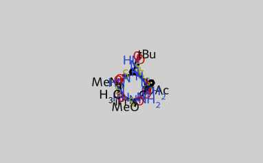 CNC(=O)C[C@@H]1NC(=O)c2csc(n2)-c2ccc(-c3nc(NC(=O)OC(C)(C)C)cs3)nc2-c2csc(n2)-c2csc(n2)[C@H]([C@@H](OC(C)=O)c2ccccc2)N(N)C(=O)CN(N)C(=O)c2nc(sc2COC)C(C(C)C)NC(=O)c2nc1sc2C